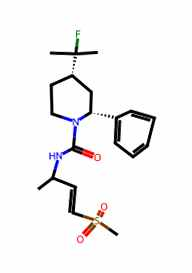 CC(/C=C/S(C)(=O)=O)NC(=O)N1CC[C@H](C(C)(C)F)C[C@@H]1c1ccccc1